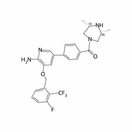 C[C@@H]1CN(C(=O)c2ccc(-c3cnc(N)c(OCc4cccc(F)c4C(F)(F)F)c3)cc2)C[C@H](C)N1